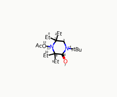 CCC1(CC)CN(C(C)(C)C)C(=O)C(CC)(CC)N1OC(C)=O